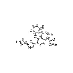 COC(=O)N1c2ccc(-c3cnn(C4CNC4)c3)c(Oc3cc(F)ccc3F)c2CCC1C